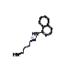 N=CCC/C=C/Nc1cccc2ccccc12